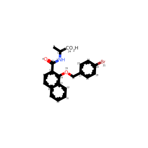 CC(NC(=O)c1ccc2ccccc2c1OCc1ccc(Br)cc1)C(=O)O